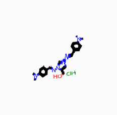 CN(C)c1ccc(C=NN2C=C(CO)N(N=Cc3ccc(N(C)C)cc3)C2)cc1.Cl